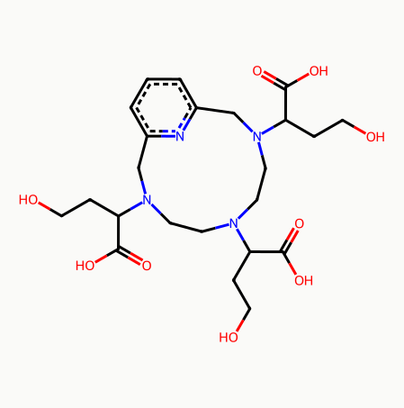 O=C(O)C(CCO)N1CCN(C(CCO)C(=O)O)Cc2cccc(n2)CN(C(CCO)C(=O)O)CC1